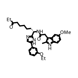 CCOc1cccc(-c2cnc([C@H](CCCCCC(=O)CC)NC(=O)Cc3c(C)[nH]c4ccc(OC)cc34)[nH]2)c1